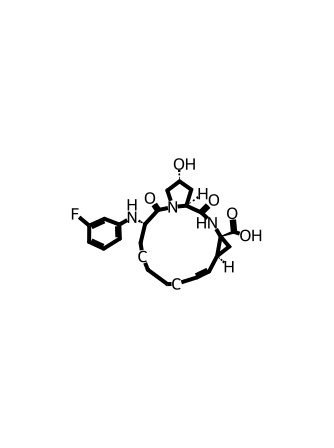 O=C1N[C@]2(C(=O)O)C[C@H]2/C=C\CCCCC[C@H](Nc2cccc(F)c2)C(=O)N2C[C@H](O)C[C@@H]12